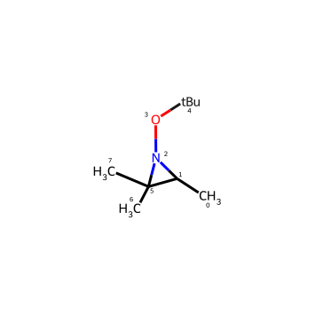 CC1N(OC(C)(C)C)C1(C)C